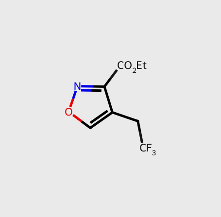 CCOC(=O)c1nocc1CC(F)(F)F